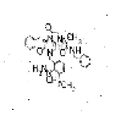 C=Cc1cccc(CN2C[C@H]3N(C(=O)CN3N(C)C(=O)NCc3ccccc3)[C@@H](Cc3ccccc3)C2=O)c1N(C)N